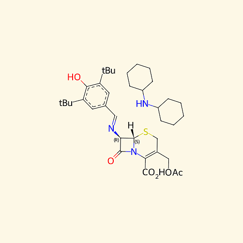 C1CCC(NC2CCCCC2)CC1.CC(=O)OCC1=C(C(=O)O)N2C(=O)[C@@H](N=Cc3cc(C(C)(C)C)c(O)c(C(C)(C)C)c3)[C@@H]2SC1